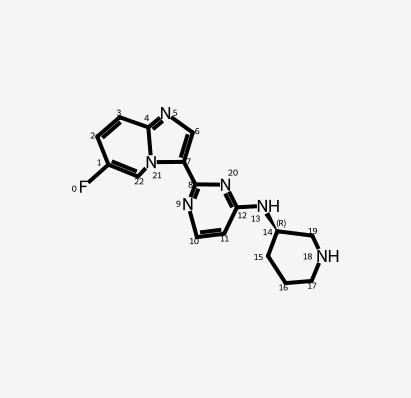 Fc1ccc2ncc(-c3nccc(N[C@@H]4CCCNC4)n3)n2c1